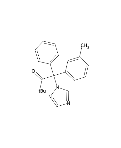 Cc1cccc(C(C(=O)C(C)(C)C)(c2ccccc2)n2cncn2)c1